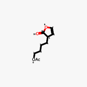 CC(=O)OCCCCC1C=COC1=O